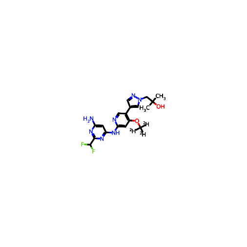 [2H]C([2H])([2H])Oc1cc(Nc2cc(N)nc(C(F)F)n2)ncc1-c1cnn(CC(C)(C)O)c1